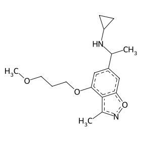 COCCCOc1cc(C(C)NC2CC2)cc2onc(C)c12